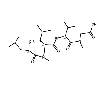 CC(C)C[C@H](N)C(=O)N(C)[C@@H](CC(C)C)C(=O)N[C@H](C(=O)N(C)CC(=O)O)C(C)C